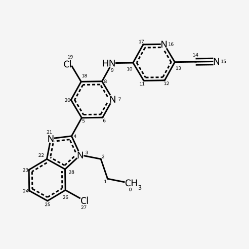 CCCn1c(-c2cnc(Nc3ccc(C#N)nc3)c(Cl)c2)nc2cccc(Cl)c21